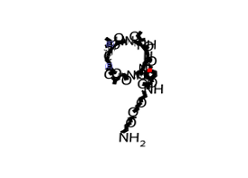 C/C=C(\C)[C@H]1OC(=O)[C@@H](C)NC(=O)[C@H](C(C)CC)NC(=O)CN(C)C(=O)[C@@H](Cc2ccc(OC(=O)NCCCOCCOCCOCCCN)cc2)N(C)C(=O)[C@H](C)NC(=O)[C@@H](CC(C)C)OC(=O)/C(C)=C/CC[C@@H]1C